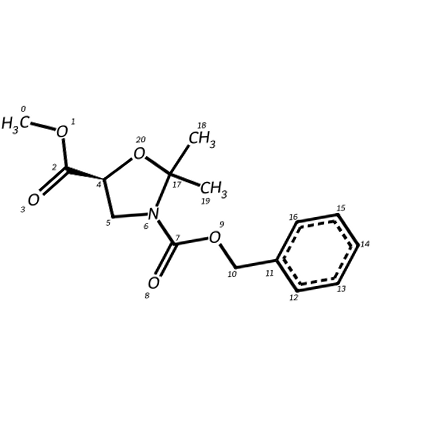 COC(=O)[C@@H]1CN(C(=O)OCc2ccccc2)C(C)(C)O1